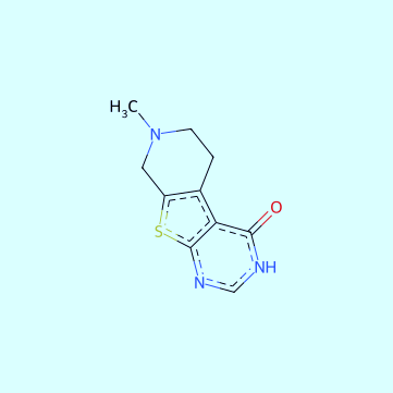 CN1CCc2c(sc3nc[nH]c(=O)c23)C1